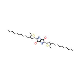 CCCCCCCCCCc1cc(-c2nc3c(=O)c(-c4cc(CCCCCCCCCC)c(C)s4)nc=3c2=O)sc1C